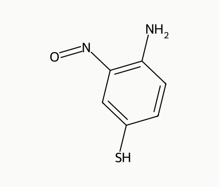 Nc1ccc(S)cc1N=O